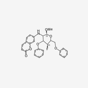 CO[C@H]1OC(COc2ccccc2)[C@@H](F)C(Oc2ccccc2)C1Nc1ccc2ccc(=O)oc2c1